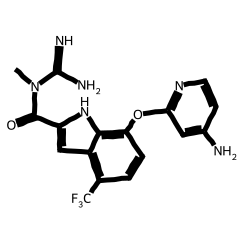 CN(C(=N)N)C(=O)c1cc2c(C(F)(F)F)ccc(Oc3cc(N)ccn3)c2[nH]1